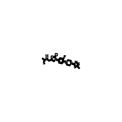 CC(=S)NCC1CN(c2ccc(N3CCN(c4nnc(C)s4)CC3)c(F)c2)C(=O)O1